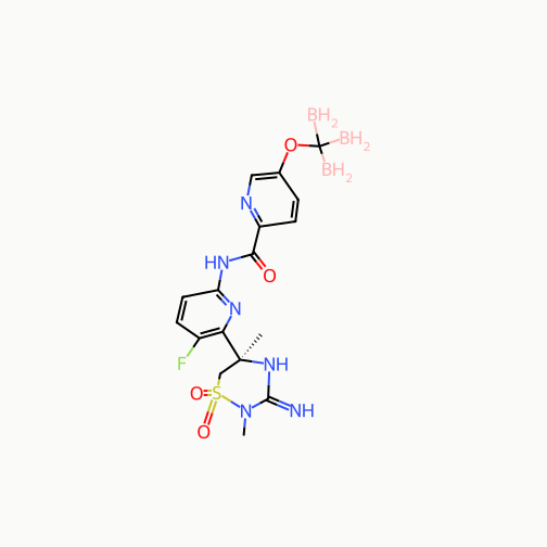 BC(B)(B)Oc1ccc(C(=O)Nc2ccc(F)c([C@]3(C)CS(=O)(=O)N(C)C(=N)N3)n2)nc1